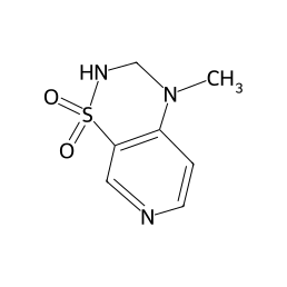 CN1CNS(=O)(=O)c2cnccc21